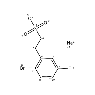 O=S(=O)([O-])CCc1cc(F)ccc1Br.[Na+]